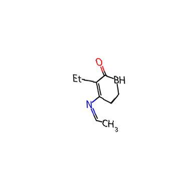 C/C=N\C1=C(CC)C(=O)BCC1